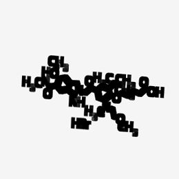 Br.CCOc1cc2c(cc1C(=O)NC)C(=N)N(CC(=O)c1cc(N(C)CCOC)c(OCCCCC(=O)O)c(C(C)(C)C)c1)C2